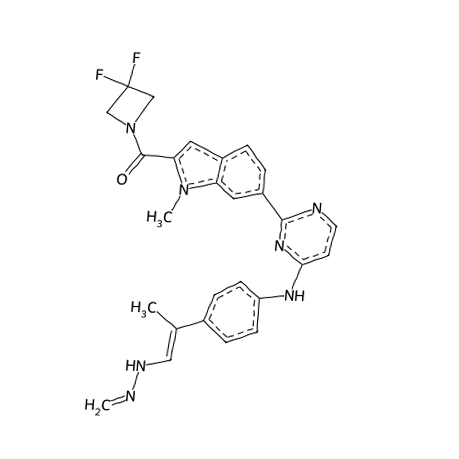 C=NN/C=C(\C)c1ccc(Nc2ccnc(-c3ccc4cc(C(=O)N5CC(F)(F)C5)n(C)c4c3)n2)cc1